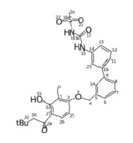 Cc1c(OCc2cccc(-c3cccc(NC(=O)NS(C)(=O)=O)c3)c2)ccc(C(=O)CC(C)(C)C)c1O